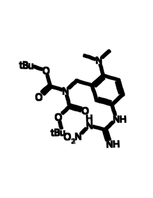 CN(C)c1ccc(NC(=N)N[N+](=O)[O-])cc1CN(C(=O)OC(C)(C)C)C(=O)OC(C)(C)C